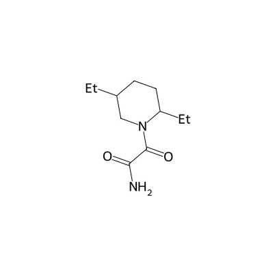 CCC1CCC(CC)N(C(=O)C(N)=O)C1